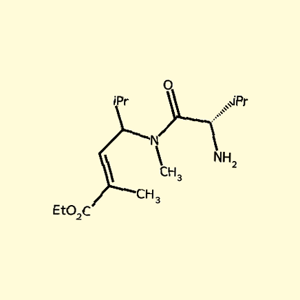 CCOC(=O)/C(C)=C/C(C(C)C)N(C)C(=O)[C@@H](N)C(C)C